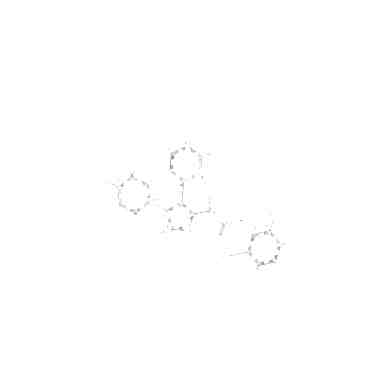 O=C(Cc1c(Cl)cccc1Cl)Nc1onc(-c2ccc(F)cc2)c1-c1ccncn1